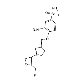 NS(=O)(=O)c1ccc(OCC2CCN(C3COC3CF)C2)c([N+](=O)[O-])c1